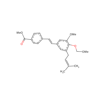 COCOc1c(CC=C(C)C)cc(C=Cc2ccc(C(=O)OC)cc2)cc1OC